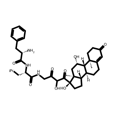 CC(C)C[C@H](NC(=O)[C@@H](N)Cc1ccccc1)C(=O)NCC(=O)C(O)C(=O)[C@@]1(O)CC[C@H]2[C@@H]3CCC4=CC(=O)CC[C@]4(C)[C@H]3[C@@H](O)C[C@@]21C